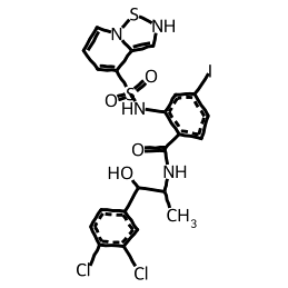 CC(NC(=O)c1ccc(I)cc1NS(=O)(=O)C1=CC=CN2SNC=C12)C(O)c1ccc(Cl)c(Cl)c1